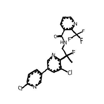 CC(F)(CNC(=O)c1cccnc1C(F)(F)F)c1ncc(-c2ccc(Cl)nc2)cc1Cl